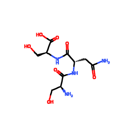 NC(=O)C[C@H](NC(=O)[C@@H](N)CO)C(=O)N[C@@H](CO)C(=O)O